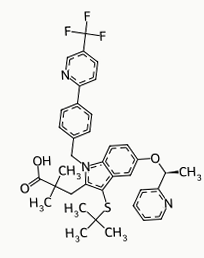 C[C@H](Oc1ccc2c(c1)c(SC(C)(C)C)c(CC(C)(C)C(=O)O)n2Cc1ccc(-c2ccc(C(F)(F)F)cn2)cc1)c1ccccn1